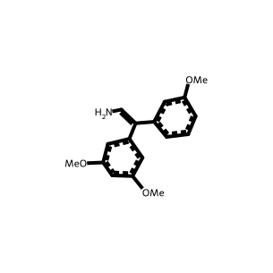 COc1cccc(C(=CN)c2cc(OC)cc(OC)c2)c1